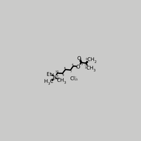 C=C(C)C(=O)OCCCCC[N+](C)(C)CC.[Cl-]